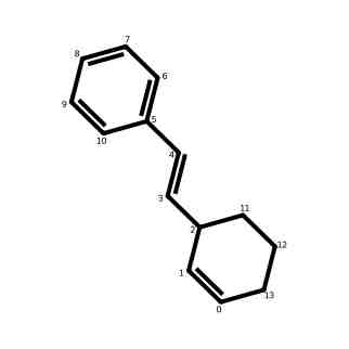 C1=CC(C=Cc2ccccc2)CCC1